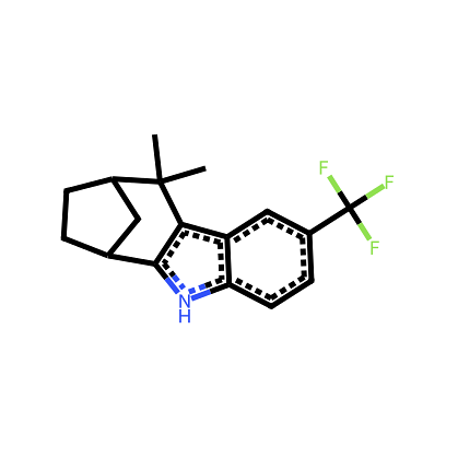 CC1(C)c2c([nH]c3ccc(C(F)(F)F)cc23)C2CCC1C2